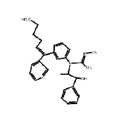 CC(C(O)c1ccccc1)N(C(N)=NC#N)c1cccc(/C(=C\CCCC(=O)O)c2cccnc2)c1